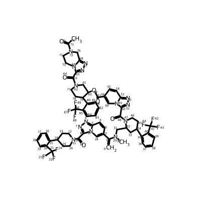 C=C(c1ccc2nnc(C(=O)N3CCC(c4ccccc4C(F)(F)F)CC3)n2c1)N(C)CC1CC(c2ccccc2C(F)(F)F)CCN1C(=O)c1nnc2ccc(C(=O)OC3CN(C(=O)c4nnc5n4CCN(C(C)=O)C5)CCC3c3ccccc3C(F)(F)F)cn12